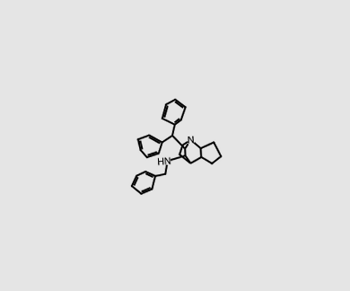 c1ccc(CNC2C3CCN(C4CCCC34)C2C(c2ccccc2)c2ccccc2)cc1